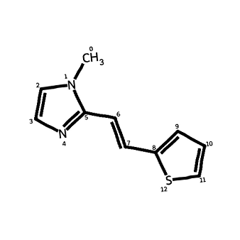 Cn1ccnc1C=Cc1cccs1